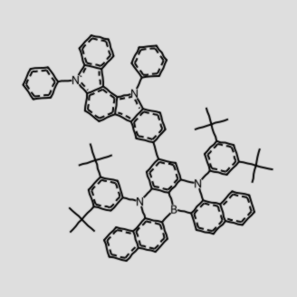 CC(C)(C)c1cc(N2c3cc(-c4ccc5c(c4)c4ccc6c(c7ccccc7n6-c6ccccc6)c4n5-c4ccccc4)cc4c3B(c3ccc5ccccc5c32)c2ccc3ccccc3c2N4c2cc(C(C)(C)C)cc(C(C)(C)C)c2)cc(C(C)(C)C)c1